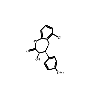 COc1ccc([C@@H]2Sc3c(Cl)cccc3NC(=O)[C@@H]2O)cc1